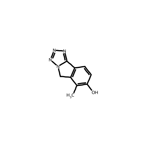 Cc1c(O)ccc2c1Cn1nnnc1-2